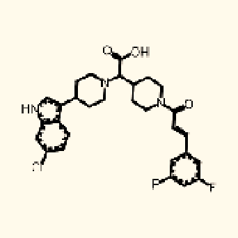 O=C(O)C(C1CCN(C(=O)C=Cc2cc(F)cc(F)c2)CC1)N1CCC(c2c[nH]c3cc(Cl)ccc23)CC1